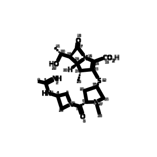 CC(=N)NC1CN(C(=O)[C@@H]2C[C@H](SC3=C(C(=O)O)N4C(=O)[C@H]([C@@H](C)O)[C@H]4[C@H]3C)CN2C)C1